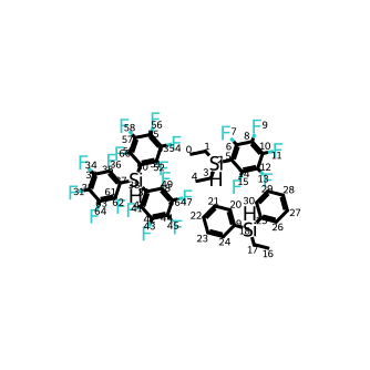 CC[SiH](CC)c1c(F)c(F)c(F)c(F)c1F.CC[SiH](c1ccccc1)c1ccccc1.Fc1c(F)c(F)c([SiH](c2c(F)c(F)c(F)c(F)c2F)c2c(F)c(F)c(F)c(F)c2F)c(F)c1F